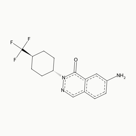 Nc1ccc2cnn([C@H]3CC[C@H](C(F)(F)F)CC3)c(=O)c2c1